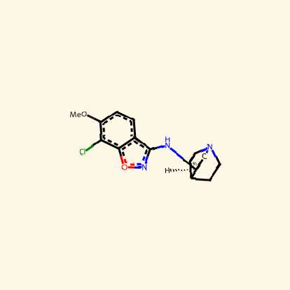 COc1ccc2c(N[C@H]3CN4CCC3CC4)noc2c1Cl